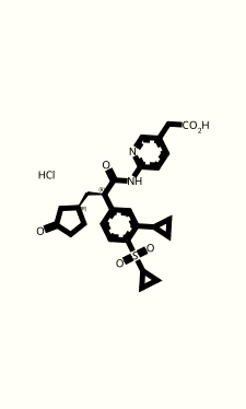 Cl.O=C(O)Cc1ccc(NC(=O)[C@H](C[C@H]2CCC(=O)C2)c2ccc(S(=O)(=O)C3CC3)c(C3CC3)c2)nc1